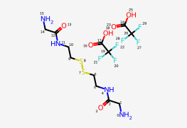 NCC(=O)NCCSSCCNC(=O)CN.O=C(O)C(F)(F)F.O=C(O)C(F)(F)F